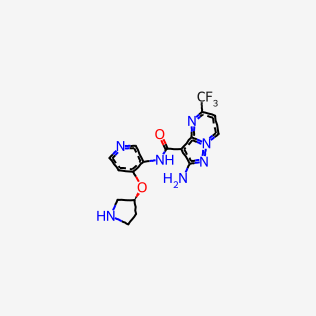 Nc1nn2ccc(C(F)(F)F)nc2c1C(=O)Nc1cnccc1O[C@H]1CCNC1